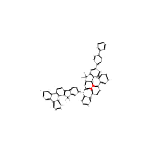 CC1(C)c2cc(-c3ccc(-c4ccccc4)cc3)ccc2-c2ccc(N(c3ccc4c(c3)C(C)(C)c3cc(-c5ccccc5-c5ccccc5)ccc3-4)c3ccccc3-c3ccc(-c4ccccc4)cc3)cc21